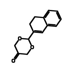 O=C1COC(C2=Cc3ccccc3CC2)OC1